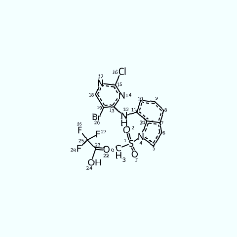 CS(=O)(=O)n1ccc2cccc(Nc3nc(Cl)ncc3Br)c21.O=C(O)C(F)(F)F